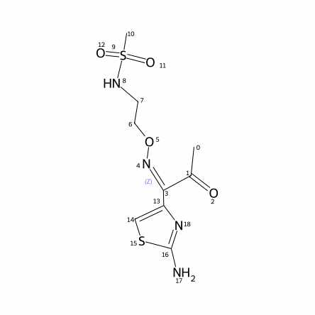 CC(=O)/C(=N\OCCNS(C)(=O)=O)c1csc(N)n1